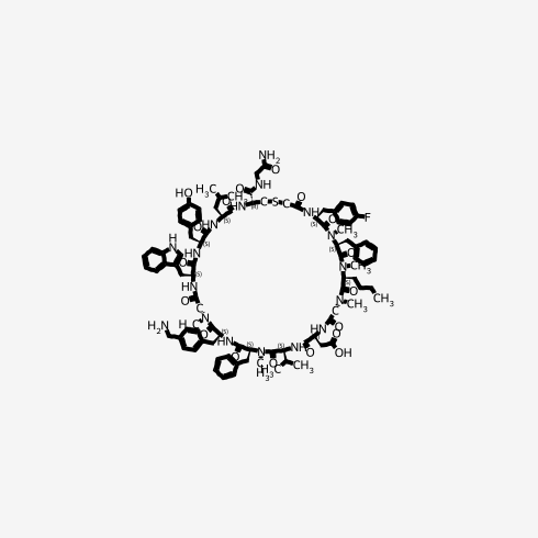 CCCC[C@H]1C(=O)N(C)CC(=O)N[C@@H](CC(=O)O)C(=O)N[C@@H](C(C)C)C(=O)N(C)[C@@H](Cc2ccccc2)C(=O)N[C@@H](Cc2ccc(CN)cc2)C(=O)N(C)CC(=O)N[C@@H](Cc2c[nH]c3ccccc23)C(=O)N[C@@H](Cc2ccc(O)cc2)C(=O)N[C@@H](CC(C)C)C(=O)N[C@H](C(=O)NCC(N)=O)CSCC(=O)N[C@@H](Cc2ccc(F)cc2)C(=O)N(C)[C@@H](Cc2ccccc2)C(=O)N1C